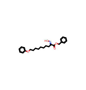 O=C(OCc1ccccc1)C(CCCCCCCCOc1ccccc1)=NO